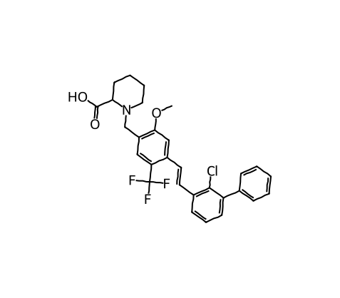 COc1cc(/C=C/c2cccc(-c3ccccc3)c2Cl)c(C(F)(F)F)cc1CN1CCCCC1C(=O)O